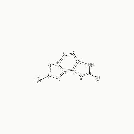 Nc1cc2c(ccc3[nH]c(O)cc32)o1